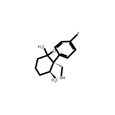 C[C@H]1CCCC(C)(C)[C@@]1(CO)c1ccc(F)cc1